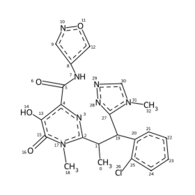 CC(c1nc(C(=O)Nc2cnoc2)c(O)c(=O)n1C)C(c1ccccc1Cl)c1nncn1C